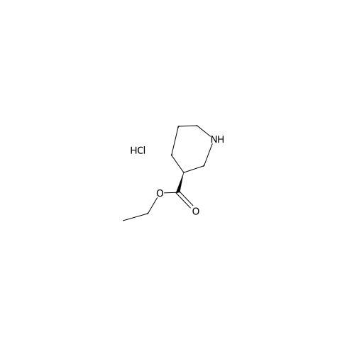 CCOC(=O)[C@H]1CCCNC1.Cl